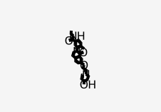 CCNC(=O)c1ccc(C)c(-n2ccc3ccc(OCCN4CCC(O)CC4)cc3c2=O)c1